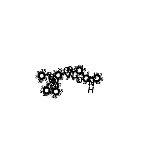 O=C(CN(CCOc1ccc2c(c1)[nH]c1ccccc12)C(=O)c1ccccc1)c1ccc(OCc2ccccc2)c(N(Cc2ccccc2)S(=O)(=O)Cc2ccccc2)c1